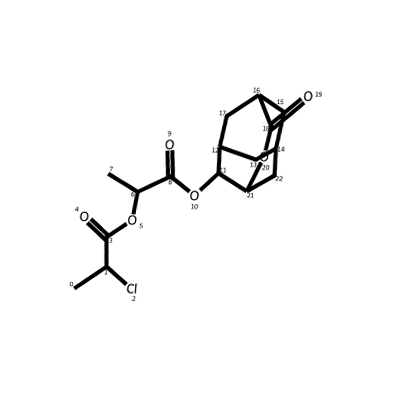 CC(Cl)C(=O)OC(C)C(=O)OC1C2CC3CC(C2)C(=O)OC1C3